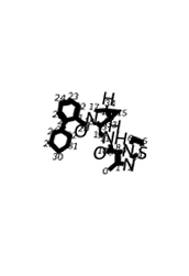 Cc1nc2sccn2c1C(=O)NC[C@@H]1[C@H]2C[C@H]2CN1C(=O)c1ccccc1C1CCCCC1